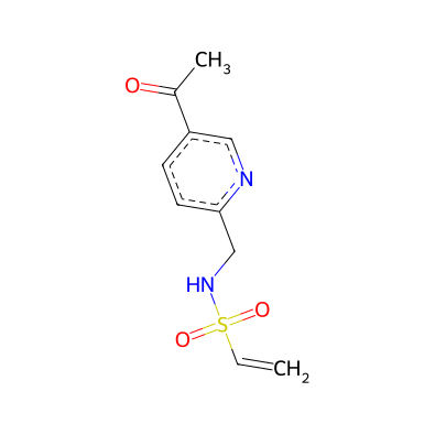 C=CS(=O)(=O)NCc1ccc(C(C)=O)cn1